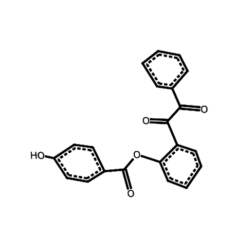 O=C(Oc1ccccc1C(=O)C(=O)c1ccccc1)c1ccc(O)cc1